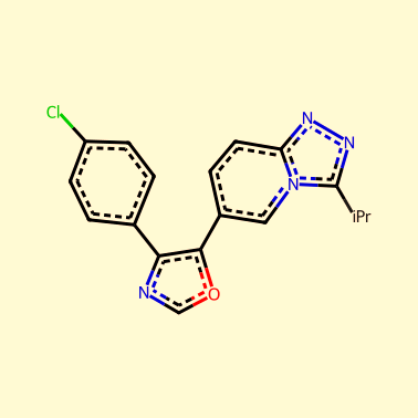 CC(C)c1nnc2ccc(-c3ocnc3-c3ccc(Cl)cc3)cn12